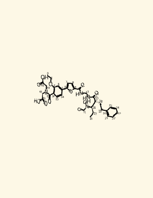 CCOc1cc(-c2ccc(C(=O)NCNC(=O)[C@H](CCc3ccccc3)[C@@H](CC)N(O)C=O)o2)ccc1C(=O)N(CC(=O)O)CC(=O)O